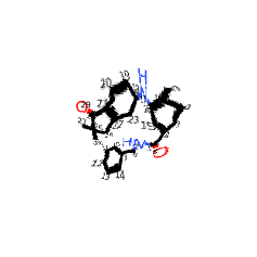 Cc1ccc(C(=O)NCc2ccccc2)cc1Nc1ccc2c(c1)CC(C)(C)C2=O